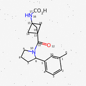 Cc1cccc(C2CCCN2C(=O)C23CC(NC(=O)O)(C2)C3)c1